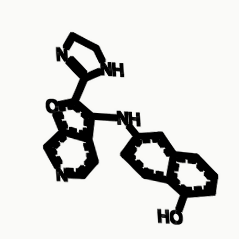 Oc1cccc2cc(Nc3c(C4=NCCN4)oc4cnccc34)ccc12